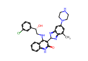 Cc1cc(N2CCNCC2)cc2c1=NC(c1c(NC[C@@H](O)c3cccc(Cl)c3)c3ccccc3[nH]c1=O)N=2